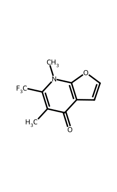 Cc1c(C(F)(F)F)n(C)c2occc2c1=O